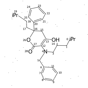 CC(C)CCCN(Cc1ccccc1)C1=C(O)CC(CCC(C)C)(c2ccccc2)OC1=O